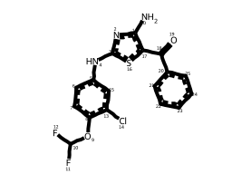 Nc1nc(Nc2ccc(OC(F)F)c(Cl)c2)sc1C(=O)c1ccccc1